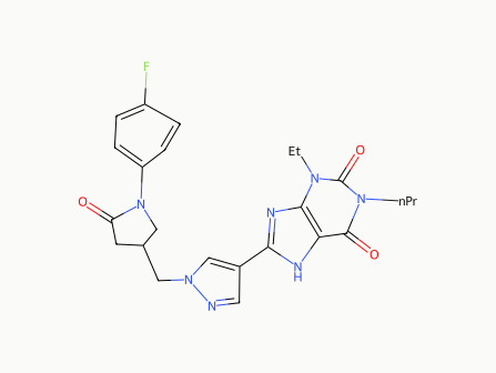 CCCn1c(=O)c2[nH]c(-c3cnn(CC4CC(=O)N(c5ccc(F)cc5)C4)c3)nc2n(CC)c1=O